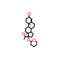 CC(=O)[C@@]1(OC2CCCCO2)CCC2C3CCC4=CC(=O)CC[C@]4(C)C3CC[C@@]21C